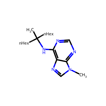 CCCCCCC(C)(CCCCCC)Nc1ncnc2c1ncn2C